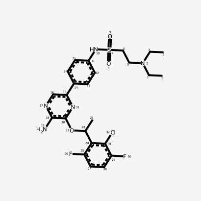 CCN(CC)CCS(=O)(=O)Nc1ccc(-c2cnc(N)c(OC(C)c3c(F)ccc(F)c3Cl)n2)cc1